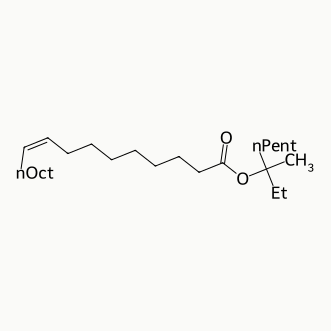 CCCCCCCC/C=C\CCCCCCCC(=O)OC(C)(CC)CCCCC